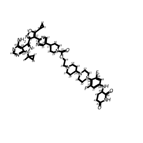 CC1(n2nc(-c3noc(C4CC4)c3-c3ncc(C4CCN(C(=O)OCCN5CCC(N6CCN(c7c(F)cc(NC8CCC(=O)NC8=O)cc7F)CC6)CC5)CC4)cn3)c3c(N)ncnc32)CC1